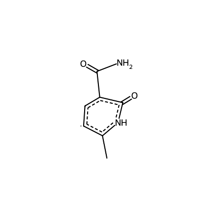 Cc1[c]cc(C(N)=O)c(=O)[nH]1